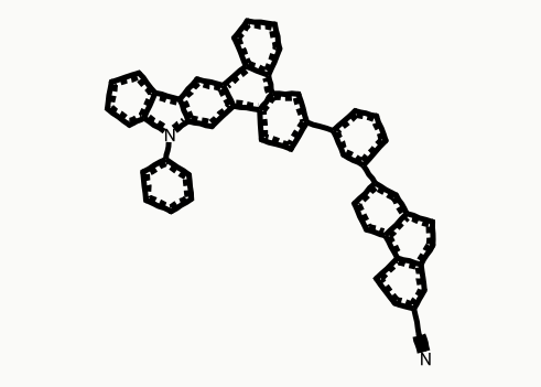 N#Cc1ccc2c(ccc3cc(-c4cccc(-c5ccc6c(c5)c5ccccc5c5cc7c8ccccc8n(-c8ccccc8)c7cc65)c4)ccc32)c1